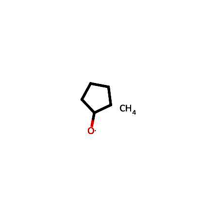 C.[O]C1CCCC1